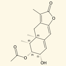 CC(=O)O[C@H]1[C@@H](O)C=C2C=C3OC(=O)C(C)=C3C[C@]2(C)[C@H]1C